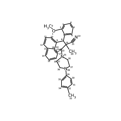 COc1ccccc1C(c1cccc2ccccc12)C(C)(C#N)C(=O)N1CCN(c2ccc(C)cc2)CC1